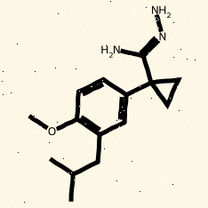 COc1ccc(C2(/C(N)=N/N)CC2)cc1CC(C)C